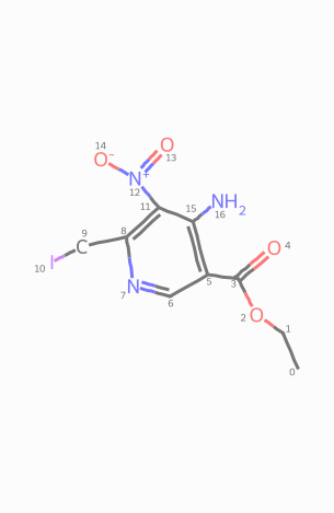 CCOC(=O)c1cnc(CI)c([N+](=O)[O-])c1N